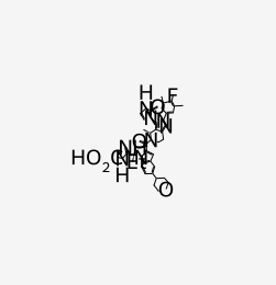 CC[C@](C)(C(=N)NC(=O)O)n1c(C(=O)N2CCc3nn(-c4cc(C)c(F)c(C)c4)c(-n4cc[nH]c4=O)c3[C@@H]2C)cc2cc(C3CCOCC3)ccc21